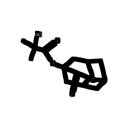 CCC(C)(C)C(=O)OC12CC3CC(CC(C3)OC1=O)C2